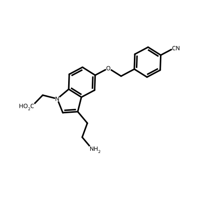 N#Cc1ccc(COc2ccc3c(c2)c(CCN)cn3CC(=O)O)cc1